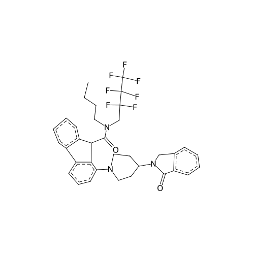 CCCCN(CC(F)(F)C(F)(F)C(F)(F)F)C(=O)C1c2ccccc2-c2cccc(N3CCC(N4Cc5ccccc5C4=O)CC3)c21